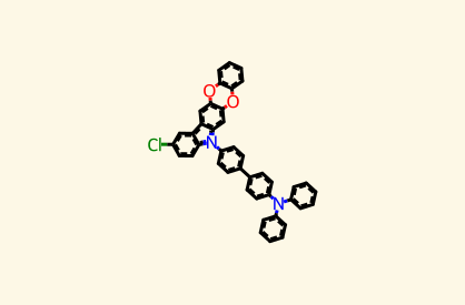 Clc1ccc2c(c1)c1cc3c(cc1n2-c1ccc(-c2ccc(N(c4ccccc4)c4ccccc4)cc2)cc1)Oc1ccccc1O3